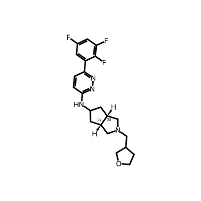 Fc1cc(F)c(F)c(-c2ccc(NC3C[C@@H]4CN(CC5CCOC5)C[C@@H]4C3)nn2)c1